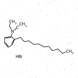 Br.CCCCCCCCCCCc1ccccc1N(CC)CC